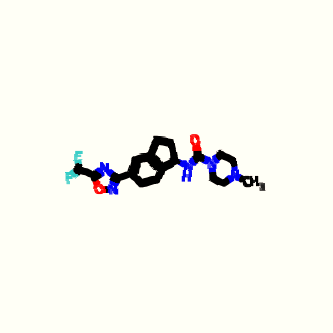 CN1CCN(C(=O)N[C@@H]2CCc3cc(-c4noc(C(F)F)n4)ccc32)CC1